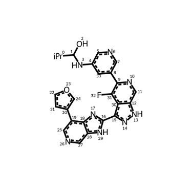 CC(C)C(O)Nc1cncc(-c2ncc3[nH]nc(-c4nc5c(-c6ccoc6)cncc5[nH]4)c3c2F)c1